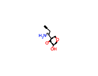 C#CC[C@@H](N)c1cocc(O)c1=O